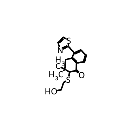 CC1(C)Cc2c(cccc2-c2nccs2)C(=O)C1SCCO